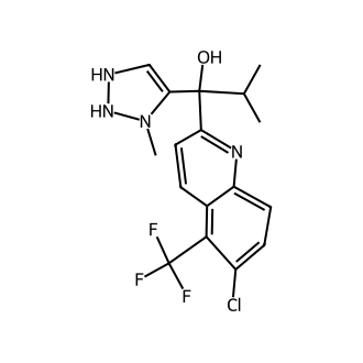 CC(C)C(O)(C1=CNNN1C)c1ccc2c(C(F)(F)F)c(Cl)ccc2n1